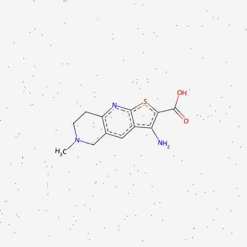 CN1CCc2nc3sc(C(=O)O)c(N)c3cc2C1